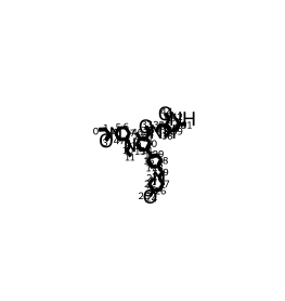 C=CC(=O)N1CCCC(N(CC)c2cc(-c3ccc(CN4CCC(OC)CC4)cc3)cc(C(=O)NCc3c(C)cc(C)[nH]c3=O)c2C)C1